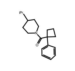 CC(C)C1CCN(C(=O)C2(c3ccccc3)CCC2)CC1